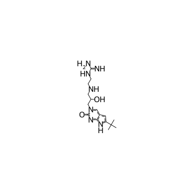 CC(C)(C)c1cc2cn(CC(O)CNCCNC(=N)N)c(=O)nc2[nH]1